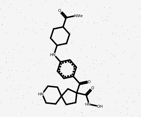 CNC(=O)C1CCC(Nc2ccc(C(=O)C3(C(=O)NO)CCC4(CCNCC4)C3)cc2)CC1